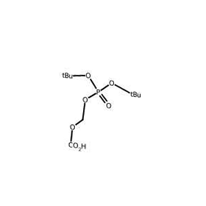 CC(C)(C)OP(=O)(OCOC(=O)O)OC(C)(C)C